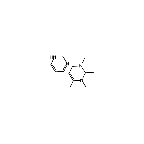 C1=CNCN=C1.CC1=CCN(C)C(C)N1C